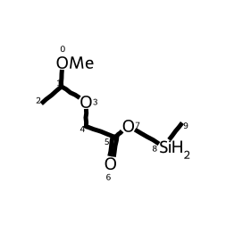 COC(C)OCC(=O)O[SiH2]C